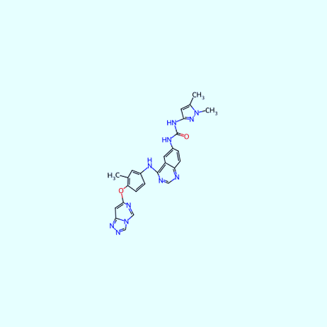 Cc1cc(Nc2ncnc3ccc(NC(=O)Nc4cc(C)n(C)n4)cc23)ccc1Oc1cc2nncn2cn1